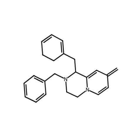 C=C1C=CN2CCN(Cc3ccccc3)C(CC3=CC=CCC3)C2=C1